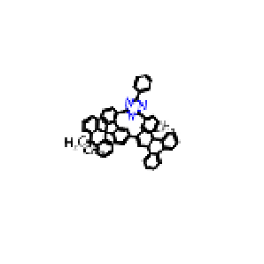 CC1CC(c2ccc3c(c2)-c2c(-c4nc(-c5ccccc5)nc(-c5ccccc5)n4)cccc2C32c3ccccc3C(C)(C)c3ccccc32)=CC2c3ccccc3-c3ccccc3C12